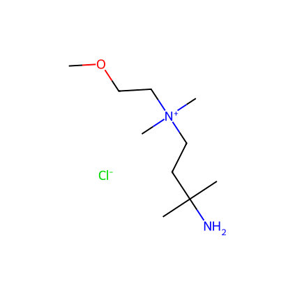 COCC[N+](C)(C)CCC(C)(C)N.[Cl-]